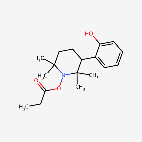 CCC(=O)ON1C(C)(C)CCC(c2ccccc2O)C1(C)C